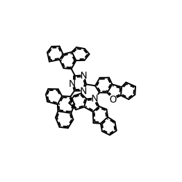 c1ccc2cc3c(cc2c1)c1ccccc1n3-c1c(-c2nc(-c3cc4ccccc4c4ccccc34)nc(-c3cc4ccccc4c4ccccc34)n2)ccc2c1oc1ccccc12